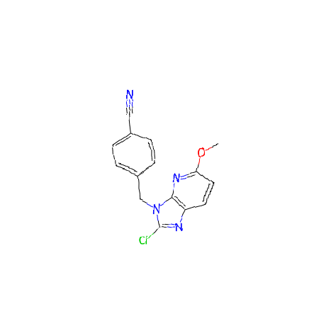 COc1ccc2nc(Cl)n(Cc3ccc(C#N)cc3)c2n1